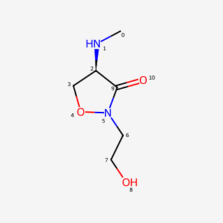 CN[C@@H]1CON(CCO)C1=O